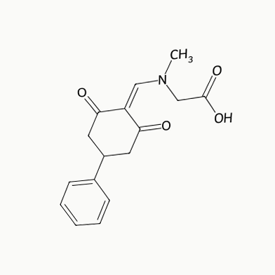 CN(C=C1C(=O)CC(c2ccccc2)CC1=O)CC(=O)O